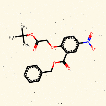 CC(C)(C)OC(=O)COc1ccc([N+](=O)[O-])cc1C(=O)OCc1ccccc1